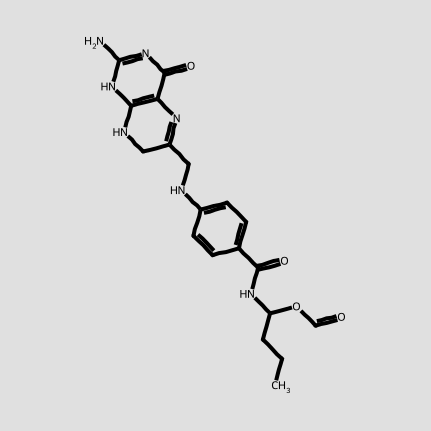 CCCC(NC(=O)c1ccc(NCC2=Nc3c([nH]c(N)nc3=O)NC2)cc1)OC=O